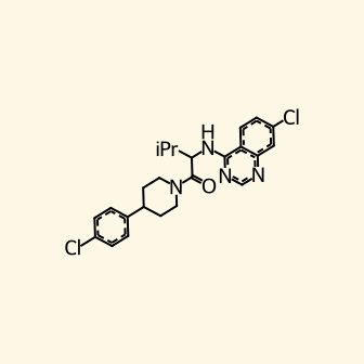 CC(C)C(Nc1ncnc2cc(Cl)ccc12)C(=O)N1CCC(c2ccc(Cl)cc2)CC1